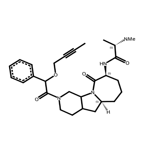 CC#CCOC(C(=O)N1CCC2C[C@@H]3CCC[C@H](NC(=O)[C@H](C)NC)C(=O)N3C2C1)c1ccccc1